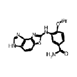 CC(C)Oc1ccc(C(N)=O)cc1Nc1nc2c(ccc3[nH]cnc32)s1